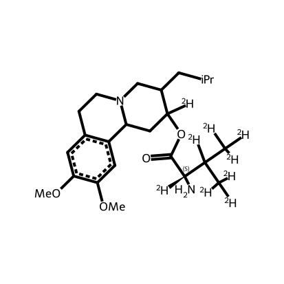 [2H]C1(OC(=O)[C@@]([2H])(N)C([2H])(C([2H])([2H])[2H])C([2H])([2H])[2H])CC2c3cc(OC)c(OC)cc3CCN2CC1CC(C)C